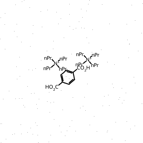 CCC[N+](CCC)(CCC)CCC.CCC[N+](CCC)(CCC)CCC.O=C(O)c1ccc(C(=O)O)cc1